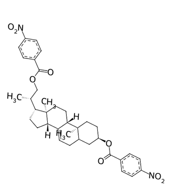 C[C@H](COC(=O)c1ccc([N+](=O)[O-])cc1)[C@H]1CC[C@H]2C3=CCC4C[C@H](OC(=O)c5ccc([N+](=O)[O-])cc5)CC[C@]4(C)[C@H]3CC[C@]12C